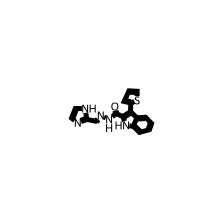 O=C(NN=Cc1ncc[nH]1)c1[nH]c2ccccc2c1-c1cccs1